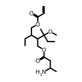 C=CC(=O)OCC(CC)C(COC(=O)CC(C)N)C(C)(CC)OC